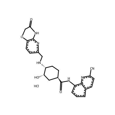 Cl.N#Cc1ccc2cccc(NC(=O)[C@@H]3CC[C@@H](NCc4ccc5c(n4)NC(=O)CO5)[C@@H](O)C3)c2n1